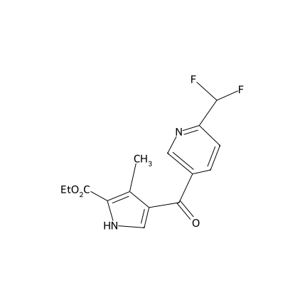 CCOC(=O)c1[nH]cc(C(=O)c2ccc(C(F)F)nc2)c1C